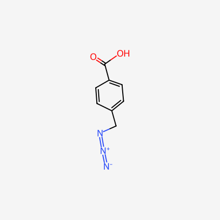 [N-]=[N+]=NCc1ccc(C(=O)O)cc1